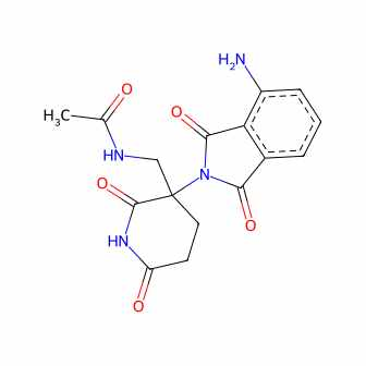 CC(=O)NCC1(N2C(=O)c3cccc(N)c3C2=O)CCC(=O)NC1=O